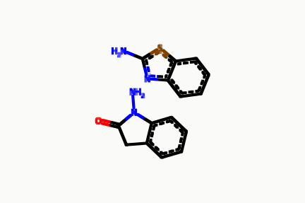 NN1C(=O)Cc2ccccc21.Nc1nc2ccccc2s1